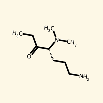 CCC(=O)[C@@H](CCCN)N(C)C